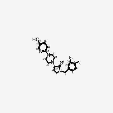 Cc1ccc(CN2CC[C@H](N3CCN(c4ccc(O)cn4)CC3)C2=O)cc1F